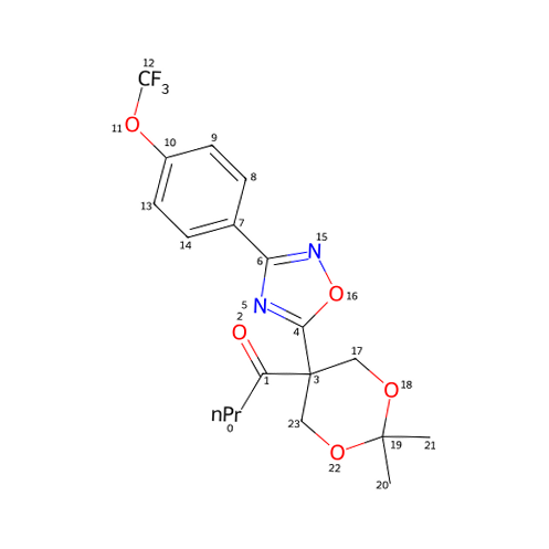 CCCC(=O)C1(c2nc(-c3ccc(OC(F)(F)F)cc3)no2)COC(C)(C)OC1